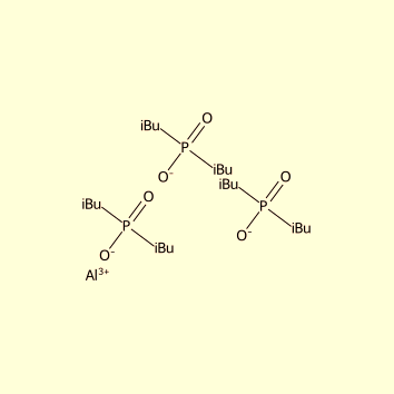 CCC(C)P(=O)([O-])C(C)CC.CCC(C)P(=O)([O-])C(C)CC.CCC(C)P(=O)([O-])C(C)CC.[Al+3]